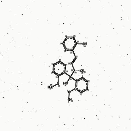 COc1ccccc1C(O)(c1ccccc1OC)[C@@H](C)N=Cc1ccccc1O